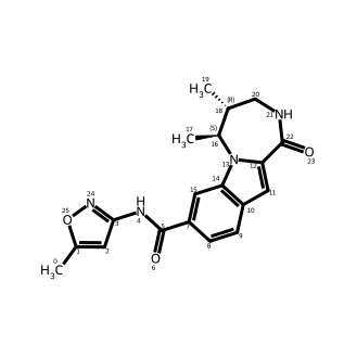 Cc1cc(NC(=O)c2ccc3cc4n(c3c2)[C@@H](C)[C@H](C)CNC4=O)no1